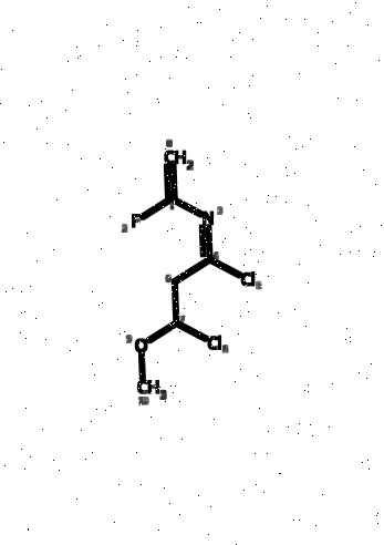 C=C(F)/N=C(/Cl)CC(Cl)OC